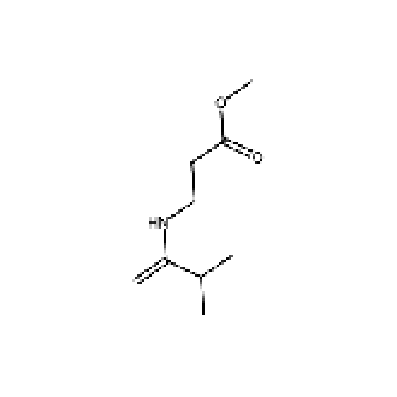 C=C(NCCC(=O)OC)C(C)C